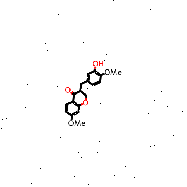 COc1ccc2c(c1)OCC(Cc1ccc(OC)c(O)c1)C2=O